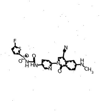 CNc1ccc2c(=O)n(-c3ccc(NC(=O)NS(=O)(=O)c4ccc(F)s4)cn3)cc(C#N)c2c1